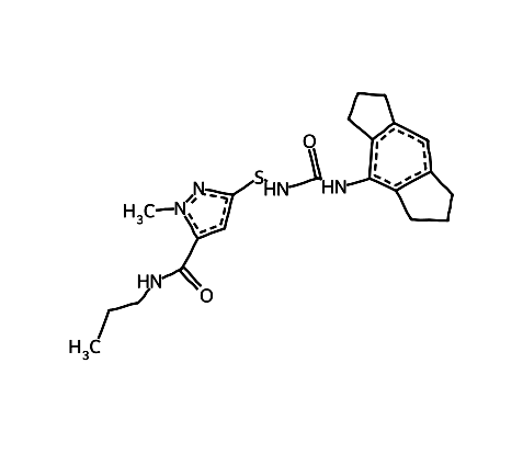 CCCNC(=O)c1cc(SNC(=O)Nc2c3c(cc4c2CCC4)CCC3)nn1C